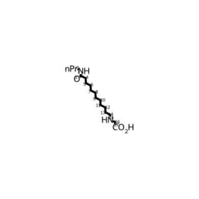 CCCNC(=O)CCCCCCCCCCCNCC(=O)O